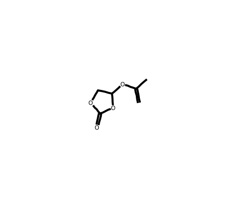 C=C(C)OC1COC(=O)O1